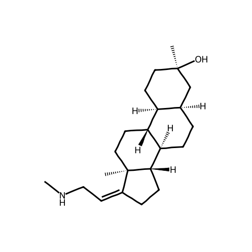 CNC/C=C1/CC[C@H]2[C@@H]3CC[C@@H]4C[C@](C)(O)CC[C@@H]4[C@H]3CC[C@]12C